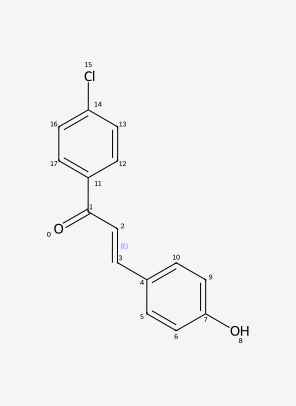 O=C(/C=C/c1ccc(O)cc1)c1ccc(Cl)cc1